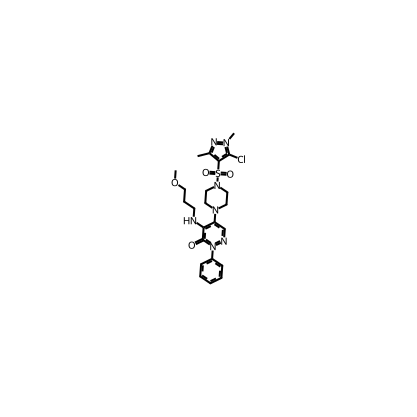 COCCCNc1c(N2CCN(S(=O)(=O)c3c(C)nn(C)c3Cl)CC2)cnn(-c2ccccc2)c1=O